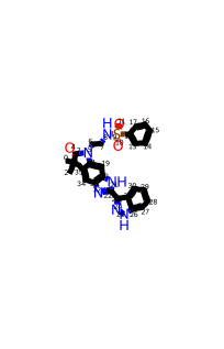 CC1(C)C(=O)N(CCNS(=O)(=O)c2ccccc2)c2cc3[nH]c(-c4n[nH]c5ccccc45)nc3cc21